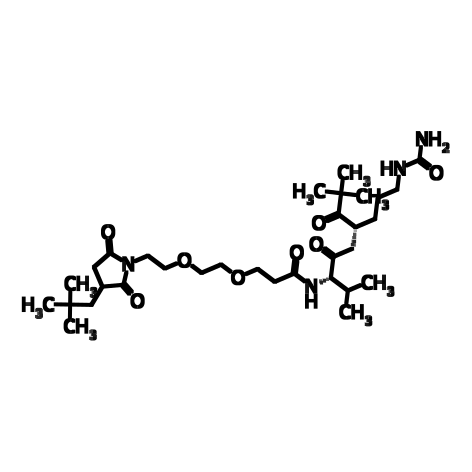 CC(C)[C@H](NC(=O)CCOCCOCCN1C(=O)CC(CC(C)(C)C)C1=O)C(=O)C[C@@H](CCCNC(N)=O)C(=O)C(C)(C)C